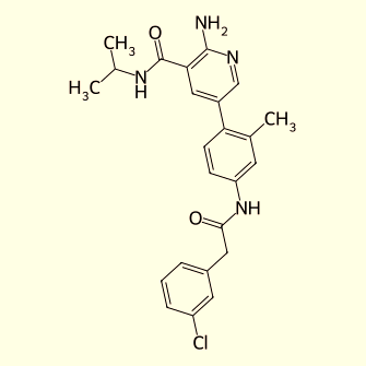 Cc1cc(NC(=O)Cc2cccc(Cl)c2)ccc1-c1cnc(N)c(C(=O)NC(C)C)c1